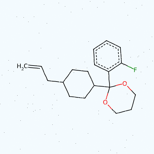 C=CCC1CCC(C2(c3ccccc3F)OCCCO2)CC1